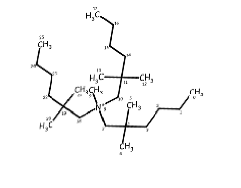 CCCCC(C)(C)C[N+](C)(CC(C)(C)CCCC)CC(C)(C)CCCC